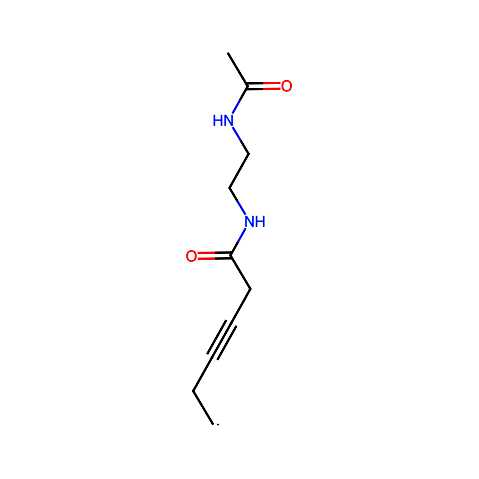 [CH2]CC#CCC(=O)NCCNC(C)=O